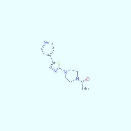 CC(C)(C)C(=O)N1CCN(c2ncc(-c3ccncc3)s2)CC1